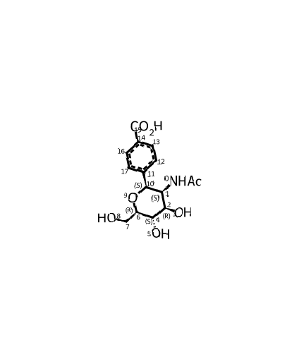 CC(=O)N[C@H]1[C@@H](O)[C@H](O)[C@@H](CO)O[C@H]1c1ccc(C(=O)O)cc1